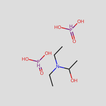 CCN(CC)C(C)O.O=[PH](O)O.O=[PH](O)O